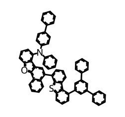 c1ccc(-c2ccc(N(c3ccccc3)c3cccc4oc5c6ccccc6c(-c6cccc7c6sc6cccc(-c8cc(-c9ccccc9)cc(-c9ccccc9)c8)c67)cc5c34)cc2)cc1